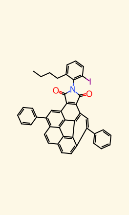 CCCCc1cccc(I)c1-n1c(=O)c2c3cc(-c4ccccc4)c4ccc5ccc6c(-c7ccccc7)cc(c2c1=O)c1c6c5c4c31